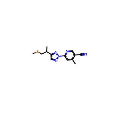 CSCC(C)c1cnn(-c2cc(C)c(C#N)cn2)n1